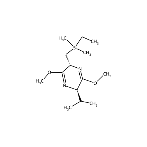 CC[Si](C)(C)C[C@@H]1N=C(OC)[C@@H](C(C)C)N=C1OC